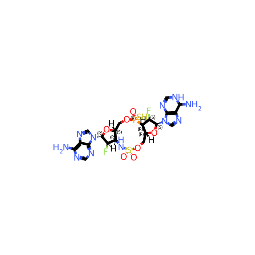 Nc1ncnc2c1ncn2[C@@H]1O[C@@H]2CO[P@@](=O)(S)[C@H]3[C@@H](F)[C@@H](n4cnc5c4N=CNC5N)O[C@@H]3COS(=O)(=O)N[C@H]2[C@H]1F